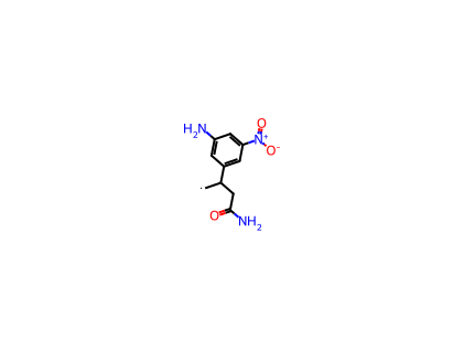 [CH2]C(CC(N)=O)c1cc(N)cc([N+](=O)[O-])c1